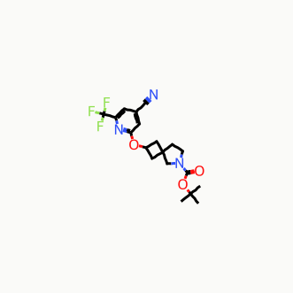 CC(C)(C)OC(=O)N1CCC2(CC(Oc3cc(C#N)cc(C(F)(F)F)n3)C2)C1